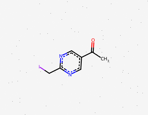 CC(=O)c1cnc(CI)nc1